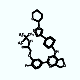 CC(C)(C)NC(=O)COc1cc(-c2nc3c(c(Nc4ccc(-c5cnn(C6CCCCO6)c5)cc4)n2)COC3)ccc1F